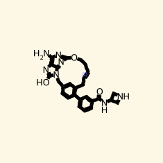 Nc1nc2nc3c1nc(O)n3Cc1ccc(-c3cccc(C(=O)NC4CNC4)c3)c(c1)C/C=C/CCO2